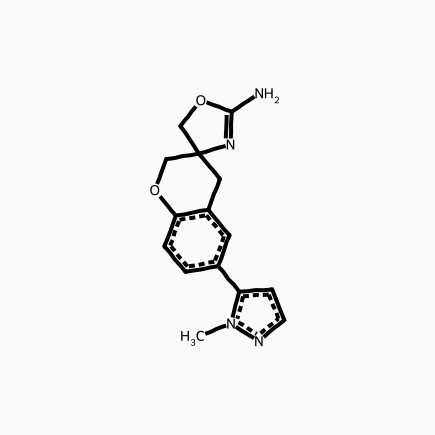 Cn1nccc1-c1ccc2c(c1)CC1(COC(N)=N1)CO2